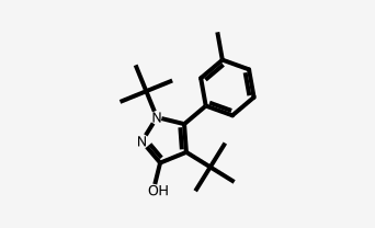 Cc1cccc(-c2c(C(C)(C)C)c(O)nn2C(C)(C)C)c1